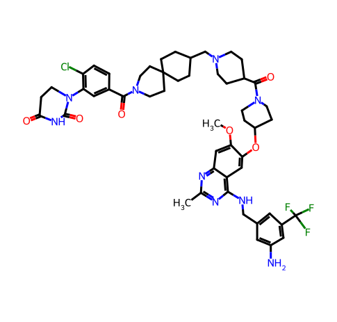 COc1cc2nc(C)nc(NCc3cc(N)cc(C(F)(F)F)c3)c2cc1OC1CCN(C(=O)C2CCN(CC3CCC4(CC3)CCN(C(=O)c3ccc(Cl)c(N5CCC(=O)NC5=O)c3)CC4)CC2)CC1